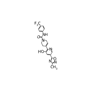 Cc1noc(-c2cnc(C3=CCN(C(=O)Nc4ccc(C(F)(F)F)cc4)CC3)c(O)c2)n1